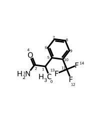 CC(C(N)=O)c1ccccc1C(F)(F)F